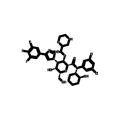 O=CC(O[C@@H]1[C@@H](n2cc(-c3cc(F)c(F)c(F)c3)nn2)[C@@H](O)[C@@H](CO)O[C@H]1C(=O)N(c1cc(Cl)cc(Cl)c1)[C@H]1CCCC[C@@H]1O)C1CNCCO1